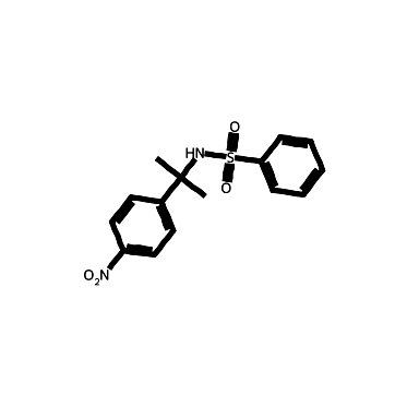 CC(C)(NS(=O)(=O)c1ccccc1)c1ccc([N+](=O)[O-])cc1